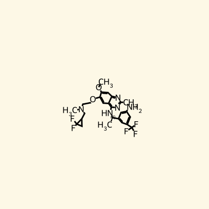 COc1cc2nc(C)nc(N[C@H](C)c3cc(N)cc(C(F)(F)F)c3)c2cc1OCCN(C)CC1CC1(F)F